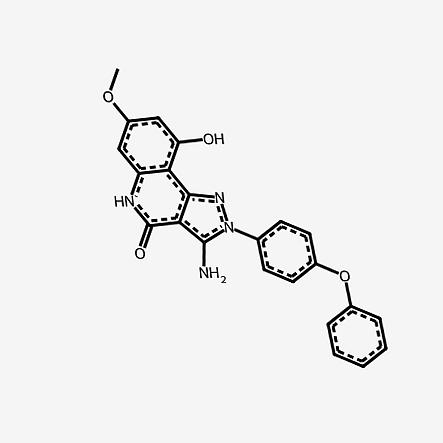 COc1cc(O)c2c(c1)[nH]c(=O)c1c(N)n(-c3ccc(Oc4ccccc4)cc3)nc12